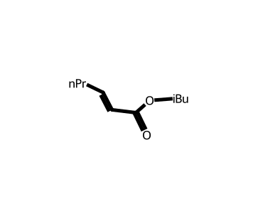 CCCC=CC(=O)OC(C)CC